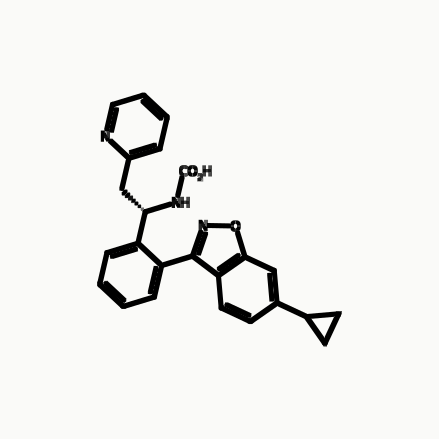 O=C(O)N[C@@H](Cc1ccccn1)c1ccccc1-c1noc2cc(C3CC3)ccc12